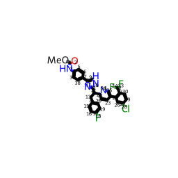 COC(=O)Nc1ccc(-c2c[nH]c(C(Cc3ccc(F)cc3)c3ccc(-c4cc(Cl)ccc4C(F)F)cn3)n2)cc1